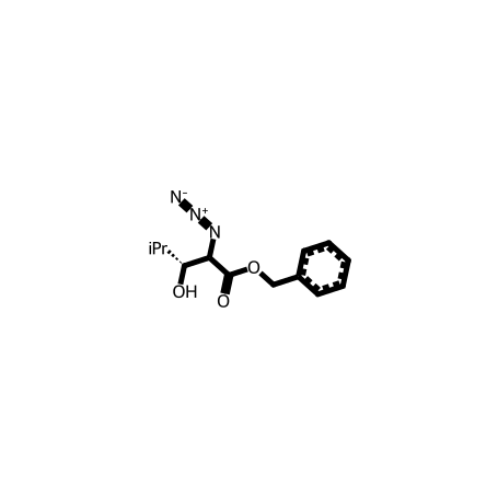 CC(C)[C@@H](O)C(N=[N+]=[N-])C(=O)OCc1ccccc1